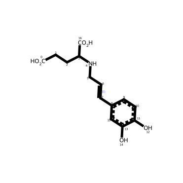 O=C(O)CCC(NC/C=C/c1ccc(O)c(O)c1)C(=O)O